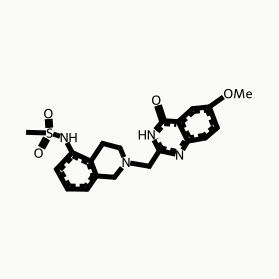 COc1ccc2nc(CN3CCc4c(cccc4NS(C)(=O)=O)C3)[nH]c(=O)c2c1